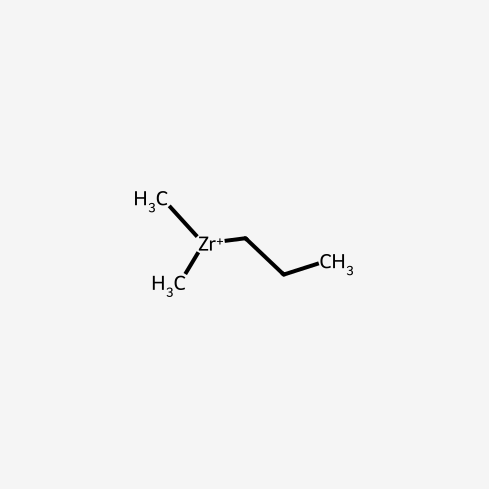 CC[CH2][Zr+]([CH3])[CH3]